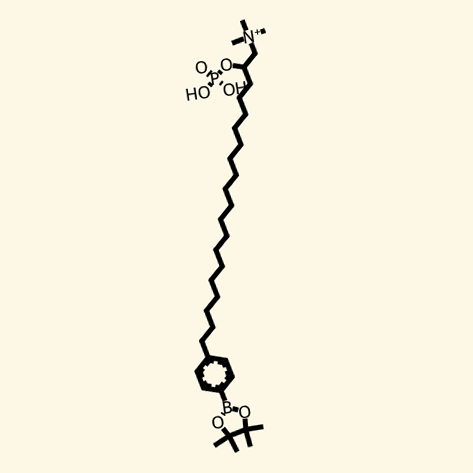 CC1(C)OB(c2ccc(CCCCCCCCCCCCCCCCCCC(C[N+](C)(C)C)OP(=O)(O)O)cc2)OC1(C)C